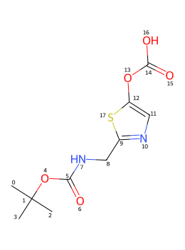 CC(C)(C)OC(=O)NCc1ncc(OC(=O)O)s1